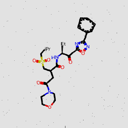 CC[C@H](NC(=O)C(CC(=O)N1CCOCC1)CS(=O)(=O)CC(C)C)C(=O)c1nc(-c2ccccc2)no1